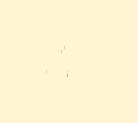 C#CC(NC(C)C(C)(C)C)C(C)(C)C